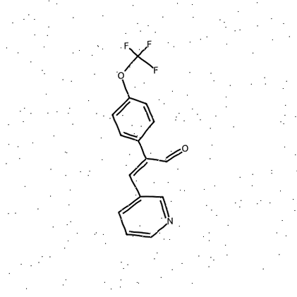 O=CC(=Cc1cccnc1)c1ccc(OC(F)(F)F)cc1